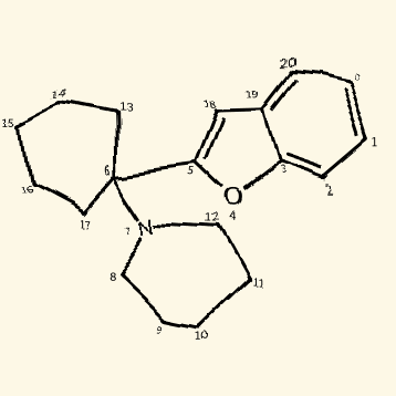 c1ccc2oc(C3(N4CCCCC4)CCCCC3)cc2c1